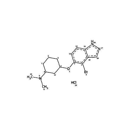 CCc1c(OC2CCCC(N(C)C)C2)ccc2[nH]ncc12.Cl